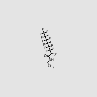 CCNC(=O)C(Br)C(F)(F)C(F)(F)C(F)(F)C(F)(F)C(F)(F)C(F)(F)F